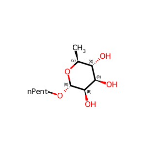 CCCCCO[C@@H]1O[C@@H](C)[C@H](O)[C@@H](O)[C@H]1O